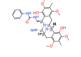 COc1c(C)c(OC)c2c(c1O)[C@H]1[C@@H]3Cc4c(OC)c(C)c(OC)c(O)c4[C@H](CNC(=O)Nc4ccccc4)N3[C@@H](C#N)[C@@H](C2)N1C